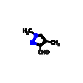 Cc1cn(C)nc1[C]=O